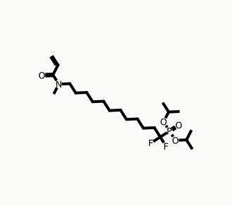 C=CC(=O)N(C)CCCCCCCCCCCC(F)(F)P(=O)(OC(C)C)OC(C)C